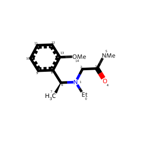 CCN(CC(=O)NC)[C@@H](C)c1ccccc1OC